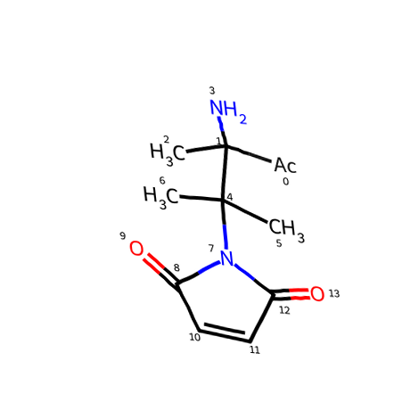 CC(=O)C(C)(N)C(C)(C)N1C(=O)C=CC1=O